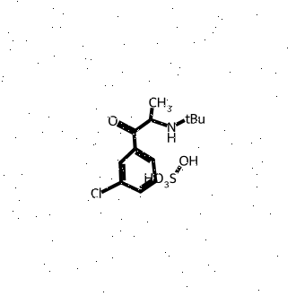 CC(NC(C)(C)C)C(=O)c1cccc(Cl)c1.O=S(=O)(O)O